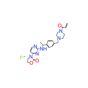 C=CC(=O)N1CCN(Cc2ccc(C(C)Nc3nccc(N4C(=O)OC[C@@H]4CF)n3)cc2)CC1